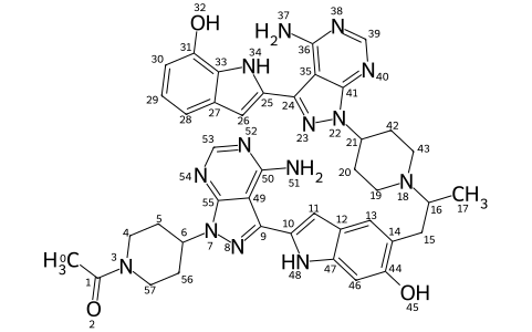 CC(=O)N1CCC(n2nc(-c3cc4cc(CC(C)N5CCC(n6nc(-c7cc8cccc(O)c8[nH]7)c7c(N)ncnc76)CC5)c(O)cc4[nH]3)c3c(N)ncnc32)CC1